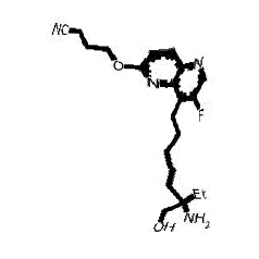 CCC(N)(CO)CCCCCc1c(F)cnc2ccc(OCCCC#N)nc12